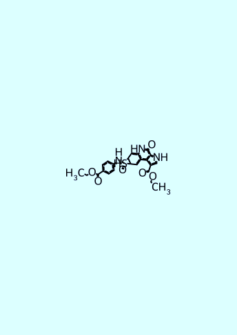 CCOC(=O)c1ccc(N[SH]2(=O)C3C=c4[nH]c(=O)c5[nH]cc(C(=O)OCC)c5c4=CC32)cc1